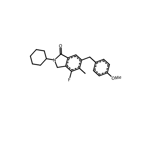 COc1ccc(Cc2cc3c(c(F)c2C)CN(C2CCCCC2)C3=O)cc1